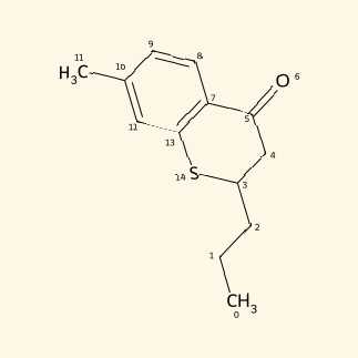 CCCC1CC(=O)c2ccc(C)cc2S1